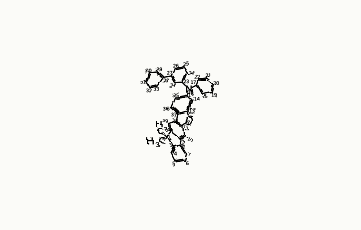 CC1(C)c2ccccc2-c2cc3oc4cc(N(c5ccccc5)c5cccc(-c6ccccc6)c5)ccc4c3cc21